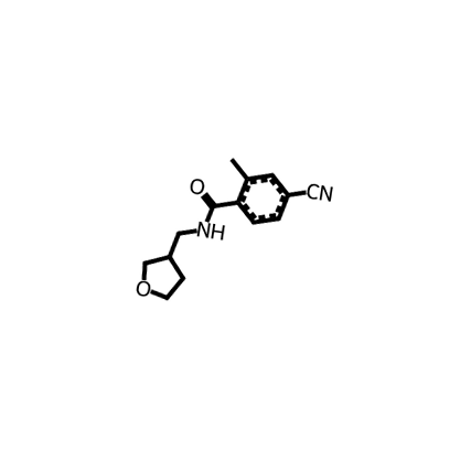 Cc1cc(C#N)ccc1C(=O)NCC1CCOC1